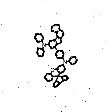 c1ccc(N(c2ccc(-c3cc(N(c4ccccc4)c4ccccc4)cc4c3Cc3ccc5ccccc5c3-4)cc2)c2ccc3c(c2)Oc2ccccc2C32c3ccccc3-c3ccccc32)cc1